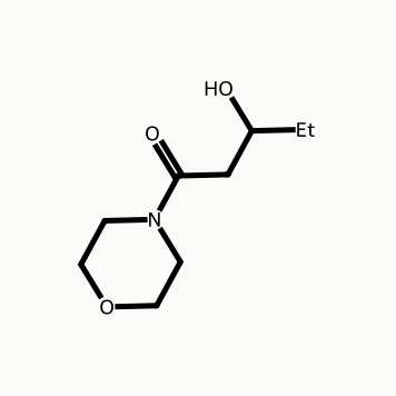 CCC(O)CC(=O)N1CCOCC1